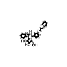 OC[C@H]1O[C@@H](n2c(NCc3cccc(OCCC[n+]4ccccc4)c3)nc3ccccc32)[C@H](O)[C@@H]1O